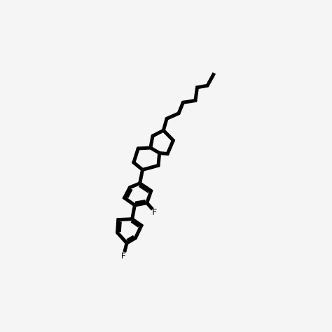 CCCCCCCC1CCC2CC(c3ccc(-c4ccc(F)cc4)c(F)c3)CCC2C1